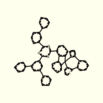 c1ccc(-c2cccc(-c3nc(-c4cc(-c5ccccc5)cc(-c5ccccc5)c4)nc(-c4cccc5c4-c4ccccc4C54c5ccccc5-c5ccccc5-c5ccccc54)n3)c2)cc1